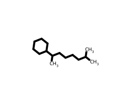 CC(C)CCCCC(C)C1CCCCC1